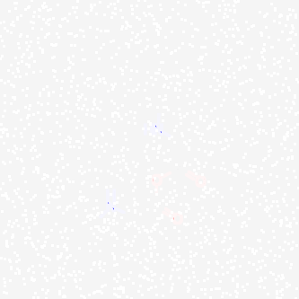 O=C(CNCc1ccccc1)OC(=O)c1ccc[nH]1